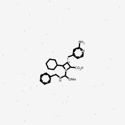 COC(NCc1ccccc1)N1C(C(=O)O)[C@@H](Cc2ccnc(N)c2)C1C1CCCCC1